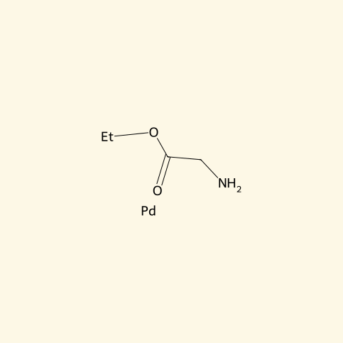 CCOC(=O)CN.[Pd]